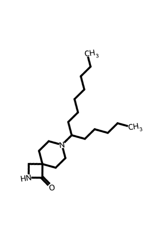 CCCCCCCC(CCCCC)N1CCC2(CC1)CNC2=O